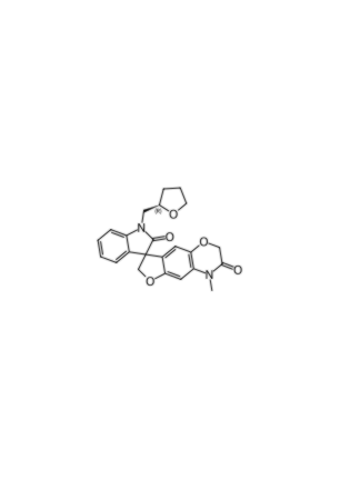 CN1C(=O)COc2cc3c(cc21)OCC31C(=O)N(C[C@H]2CCCO2)c2ccccc21